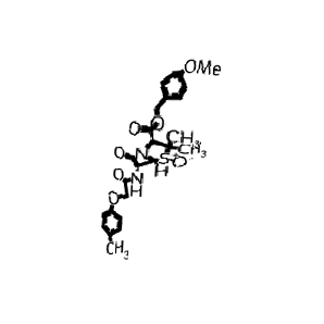 COc1ccc(COC(=O)[C@@H]2N3C(=O)[C@@H](NC(=O)COc4ccc(C)cc4)[C@H]3[S@@+]([O-])C2(C)C)cc1